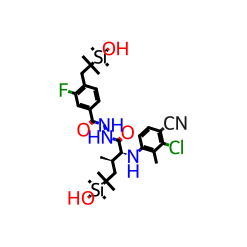 Cc1c(N[C@@H](C(=O)NNC(=O)c2ccc(CC(C)(C)[Si](C)(C)O)c(F)c2)[C@H](C)CC(C)(C)[Si](C)(C)O)ccc(C#N)c1Cl